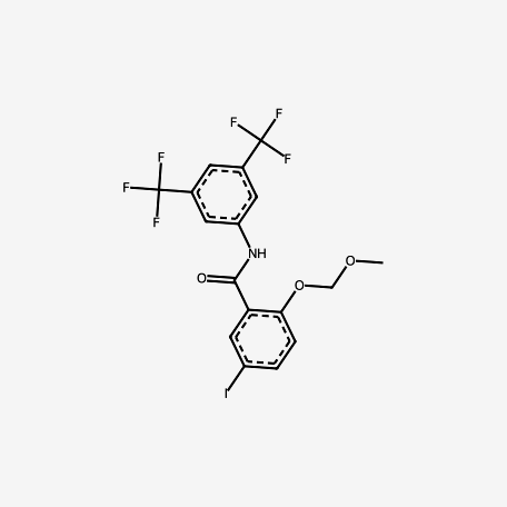 COCOc1ccc(I)cc1C(=O)Nc1cc(C(F)(F)F)cc(C(F)(F)F)c1